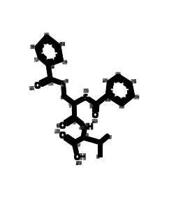 CC(C)C(NC(=O)C(CSC(=O)c1ccccc1)SC(=O)c1ccccc1)C(=O)O